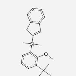 COc1c(C(C)(C)C)cccc1[Si](C)(C)C1=Cc2ccccc2C1